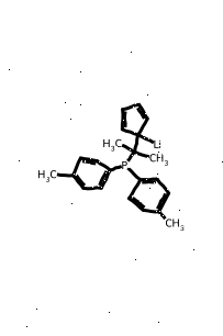 [Li][C]1(C(C)(C)P(c2ccc(C)cc2)c2ccc(C)cc2)C=CC=C1